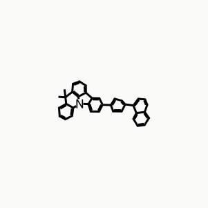 CC1(C)c2ccccc2-n2c3ccc(-c4ccc(-c5cccc6ccccc56)cc4)cc3c3cccc1c32